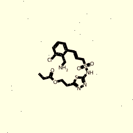 CCC(=O)OCCc1nnc(NS(=O)(=O)CC=Cc2cccc(Cl)c2CN)s1